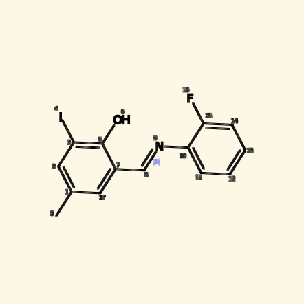 Cc1cc(I)c(O)c(/C=N/c2ccccc2F)c1